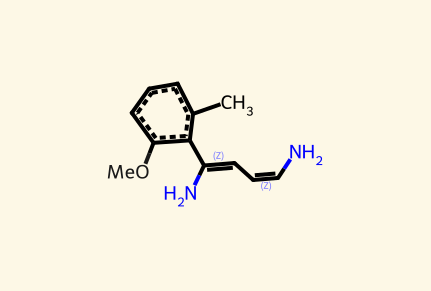 COc1cccc(C)c1/C(N)=C/C=C\N